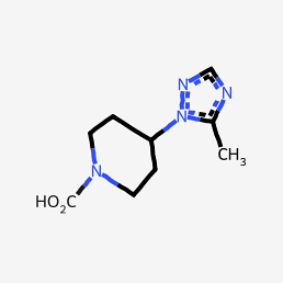 Cc1ncnn1C1CCN(C(=O)O)CC1